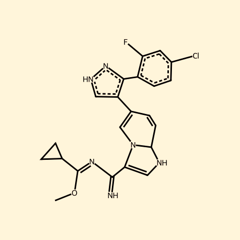 CO/C(=N\C(=N)C1=CNC2C=CC(c3c[nH]nc3-c3ccc(Cl)cc3F)=CN12)C1CC1